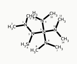 CN(C)N([SiH3])[Si](N(C)C)(N(C)C)N(C)C